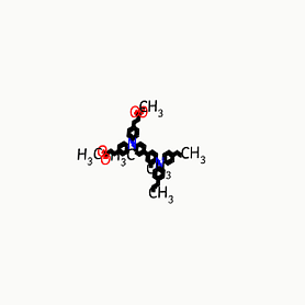 CCCc1ccc(N(c2ccc(CCC)cc2)c2ccc(-c3ccc(N(c4ccc(CCC(=O)OC)cc4)c4ccc(CCC(=O)OC)cc4)c(C)c3)cc2C)cc1